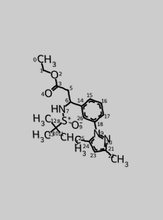 CCOC(=O)CC(N[S@+]([O-])C(C)(C)C)c1cccc(-n2nc(C)cc2C)c1